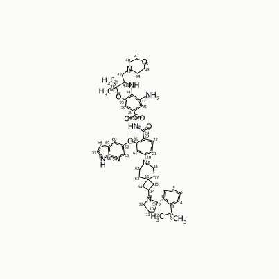 CC(C)c1ccccc1[C@@H]1CCCN1C1CC2(CCN(c3ccc(C(=O)NS(=O)(=O)c4cc(N)c5c(c4)OC(C)(C)C(CN4CCOCC4)N5)c(Oc4cnc5[nH]ccc5c4)c3)CC2)C1